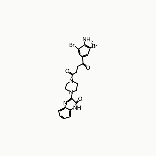 Nc1c(Br)cc(C(=O)CCC(=O)N2CCN(c3nc4ccccc4[nH]c3=O)CC2)cc1Br